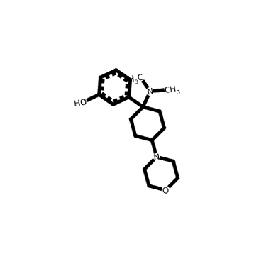 CN(C)C1(c2cccc(O)c2)CCC(N2CCOCC2)CC1